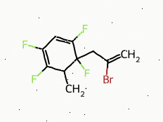 [CH2]C1C(F)=C(F)C=C(F)C1(F)CC(=C)Br